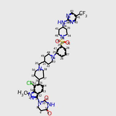 Cn1nc(N2CCC(=O)NC2=O)c2ccc(C3CCN(CC4CCN(c5cccc(S(=O)(=O)N6CCC(Nc7ncc(C(F)(F)F)cn7)CC6)c5)CC4)CC3)c(Cl)c21